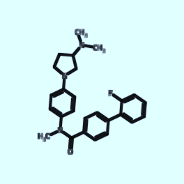 CN(C(=O)c1ccc(-c2ccccc2F)cc1)c1ccc(N2CCC(N(C)C)C2)cc1